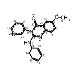 COc1ccc2nc(NC3C=CC=CC3)n(-c3cccnc3)c(=O)c2c1